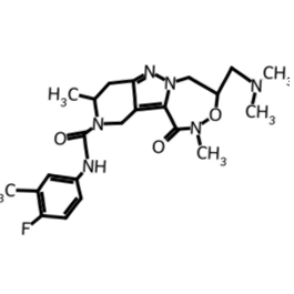 Cc1cc(NC(=O)N2Cc3c(nn4c3C(=O)N(C)OC(CN(C)C)C4)CC2C)ccc1F